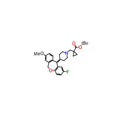 COc1ccc2c(c1)COc1ccc(F)cc1C2=C1CCN(CC2(C(=O)OC(C)(C)C)CC2)CC1